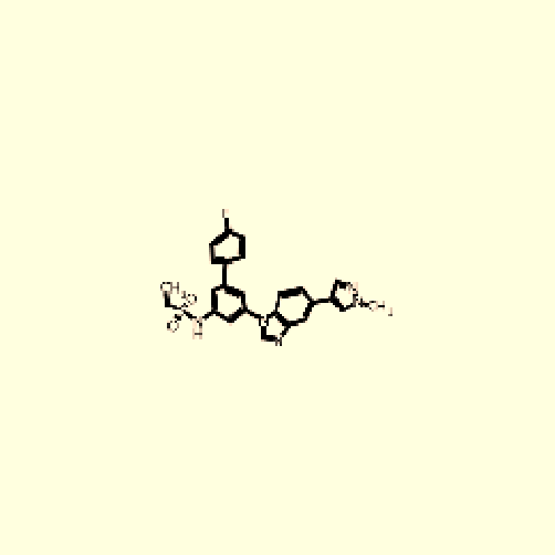 CCS(=O)(=O)Nc1cc(-c2ccc(F)cc2)cc(-n2cnc3cc(-c4cnn(C)c4)ccc32)c1